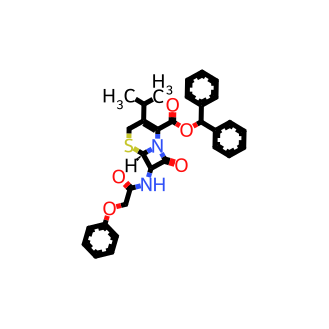 CC(C)C1=C(C(=O)OC(c2ccccc2)c2ccccc2)N2C(=O)C(NC(=O)COc3ccccc3)[C@H]2SC1